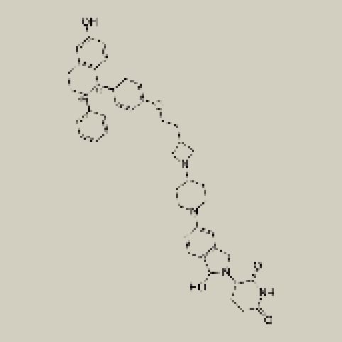 O=C1CCC(N2Cc3cc(N4CCC(N5CC(CCOC6=CCC([C@@H]7c8ccc(O)cc8CC[C@@H]7c7ccccc7)C=C6)C5)CC4)ccc3C2O)C(=O)N1